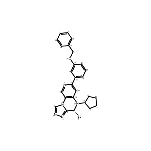 CC[C@@H]1c2nncn2-c2cnc(-c3cccc(OCc4ccccc4)c3)nc2N1C1CCCC1